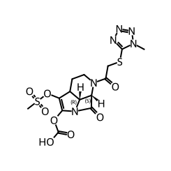 Cn1nnnc1SCC(=O)N1CCC2C(OS(C)(=O)=O)=C(OC(=O)O)N3C(=O)[C@@H]1[C@@H]23